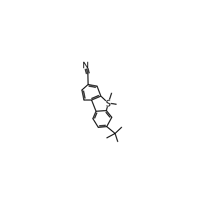 CC(C)(C)c1ccc2c(c1)S(C)(C)c1cc(C#N)ccc1-2